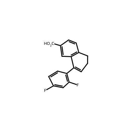 O=C(O)c1ccc2c(c1)C(c1ccc(F)cc1F)=CCC2